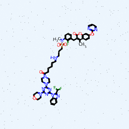 Cc1c(Cc2cccc(N(C)S(=O)(=O)CCCNCCCCCC(=O)N3CCN(c4nc(N5CCOCC5)nc(-n5c(C(F)F)nc6ccccc65)n4)CC3)c2F)c(=O)oc2cc(Oc3ncccn3)ccc12